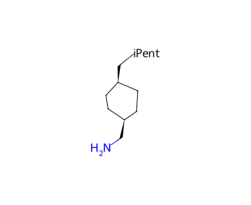 CCCC(C)C[C@H]1CC[C@@H](CN)CC1